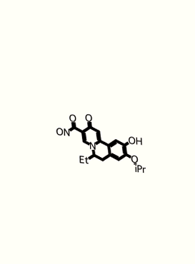 CCC1Cc2cc(OC(C)C)c(O)cc2-c2cc(=O)c(C(=O)N=O)cn21